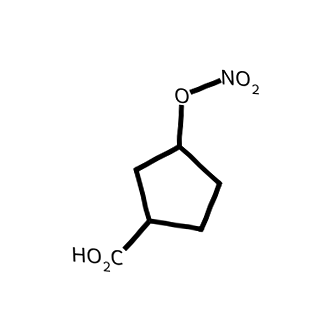 O=C(O)C1CCC(O[N+](=O)[O-])C1